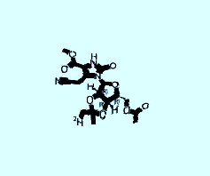 [2H]CC1(C)O[C@@H]2[C@@H](COC(C)=O)OC(n3c(CC#N)c(C(=O)OC)[nH]c3=O)[C@@H]2O1